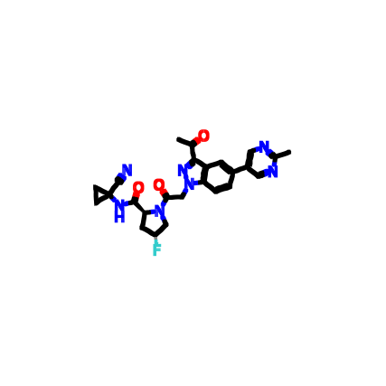 CC(=O)c1nn(CC(=O)N2C[C@H](F)C[C@H]2C(=O)NC2(C#N)CC2)c2ccc(-c3cnc(C)nc3)cc12